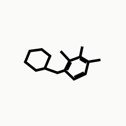 Cc1ccc(CC2CCCCC2)c(C)c1C